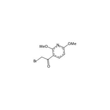 COc1ccc(C(=O)CBr)c(OC)n1